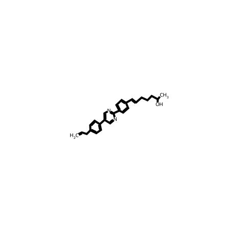 C=CCc1ccc(-c2cnc(-c3ccc(/C=C/CCCC(C)O)cc3)nc2)cc1